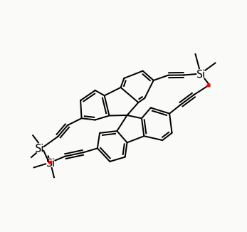 CC#Cc1ccc2c(c1)C1(c3cc(C#C[Si](C)(C)C)ccc3-2)c2cc(C#C[Si](C)(C)C)ccc2-c2ccc(C#C[Si](C)(C)C)cc21